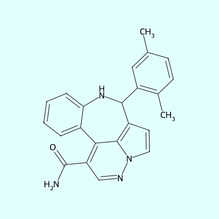 Cc1ccc(C)c(C2Nc3ccccc3-c3c(C(N)=O)cnn4ccc2c34)c1